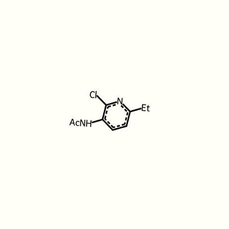 CCc1ccc(NC(C)=O)c(Cl)n1